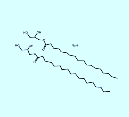 CCCCCCCCCCCCCCCCCC(=O)OCC(O)CO.CCCCCCCCCCCCCCCCCC(=O)OCC(O)CO.[NaH]